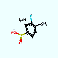 Cc1ccc(S(=O)O)cc1F.[NaH]